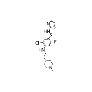 CN1CCC(CCNc2cc(F)c(SNc3nccs3)cc2Cl)CC1